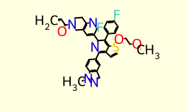 C=CC(=O)N1CCc2ncc(-c3nc(-c4ccc5c(cnn5C)c4)c4ccsc4c3-c3c(F)cc(F)cc3OCCOC)cc2C1